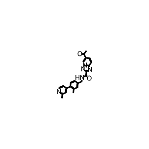 CC(=O)c1ccc2nc(C(=O)NCc3ccc(-c4ccnc(C)c4)c(C)c3)nn2c1